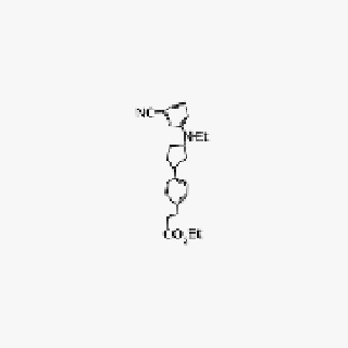 CCOC(=O)CCc1ccc(C2CCC(N(CC)c3cccc(C#N)c3)C2)cc1